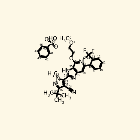 COCCOc1nc(-c2ccccc2C(F)(F)F)cc2nc(-c3c(C#N)c(C(C)(C)C)nn3C)[nH]c12.O=S(=O)(O)c1ccccc1